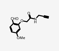 C#CCNC(=O)COc1cc(OC)ccc1C=O